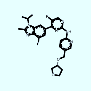 Cc1nc2c(F)cc(-c3nc(Nc4ccc(CO[C@@H]5CCOC5)cn4)ncc3F)cc2n1C(C)C